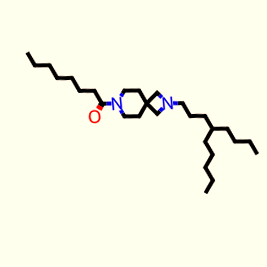 CCCCCCCC(=O)N1CCC2(CC1)CN(CCCC(CCCC)CCCCC)C2